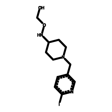 OCONC1CCN(Cc2ccc(I)nc2)CC1